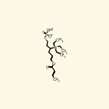 CC=CC(=O)OCCCC(CCOP(=O)([O-])O)[N+](CC)(CC)CC